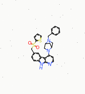 O=S(=O)(Cc1ccc2[nH]c3nccc(N4CC5CC4CN5Cc4ccccc4)c3c2c1)c1cccs1